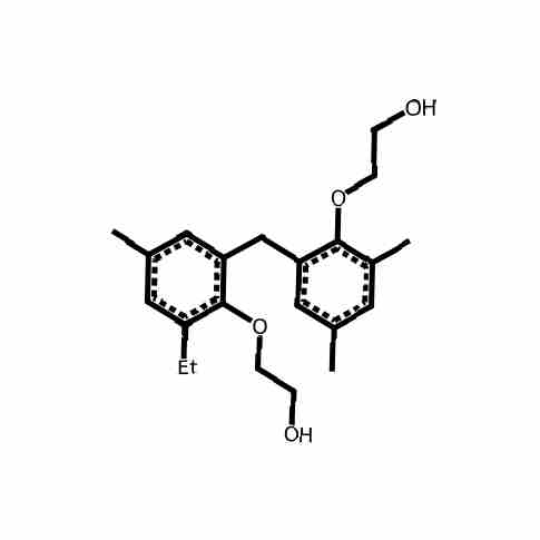 CCc1cc(C)cc(Cc2cc(C)cc(C)c2OCCO)c1OCCO